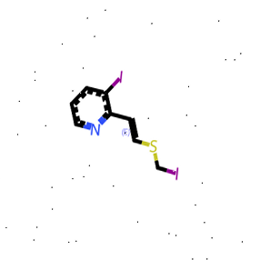 ICS/C=C/c1ncccc1I